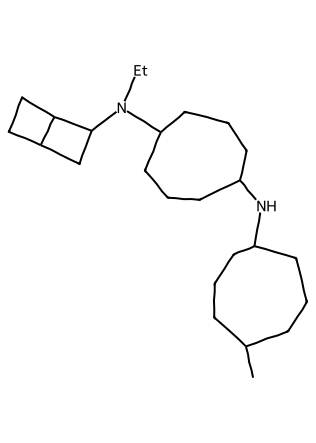 CCN(C1CCCC(NC2CCCC(C)CCC2)CCC1)C1CC2CCC21